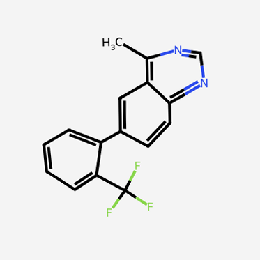 Cc1ncnc2ccc(-c3ccccc3C(F)(F)F)cc12